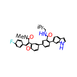 CNC(=O)c1c(-c2ccc(F)cc2)oc2ccc(-c3ccc(-c4ccc5cc[nH]c5c4)c(C(=O)NCC(C)C)c3)cc12